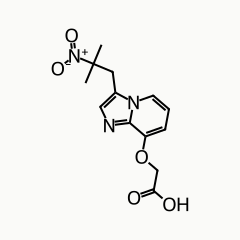 CC(C)(Cc1cnc2c(OCC(=O)O)cccn12)[N+](=O)[O-]